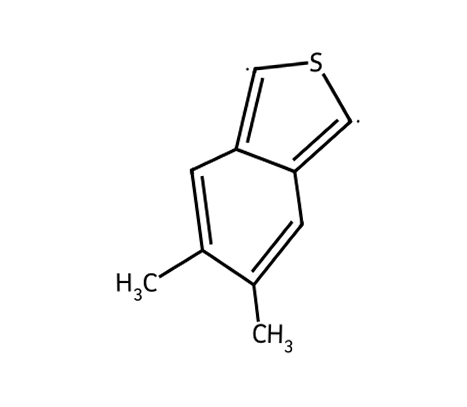 Cc1cc2[c]s[c]c2cc1C